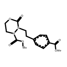 COC(=O)c1ccc(CCN2C(=O)OCCN2C(=O)OC(C)(C)C)cc1